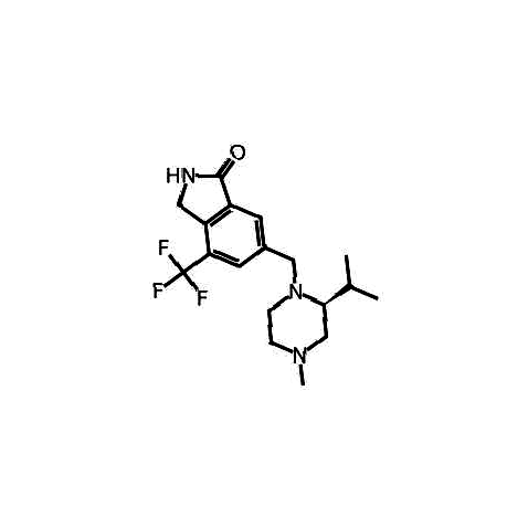 CC(C)[C@H]1CN(C)CCN1Cc1cc2c(c(C(F)(F)F)c1)CNC2=O